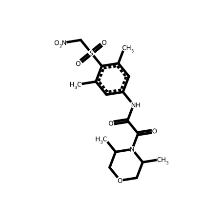 Cc1cc(NC(=O)C(=O)N2C(C)COCC2C)cc(C)c1S(=O)(=O)C[N+](=O)[O-]